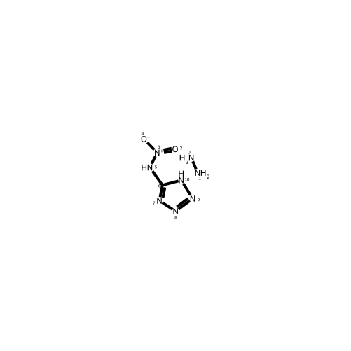 NN.O=[N+]([O-])Nc1nnn[nH]1